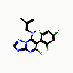 C=C(C)CN(C)c1c(-c2c(F)cc(F)cc2F)c(Cl)nc2ncnn12